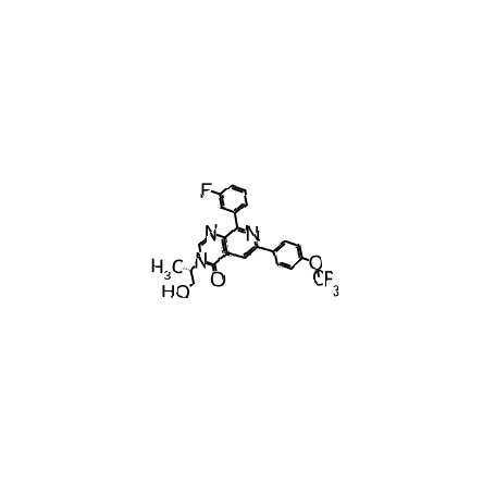 C[C@@H](CO)n1cnc2c(-c3cccc(F)c3)nc(-c3ccc(OC(F)(F)F)cc3)cc2c1=O